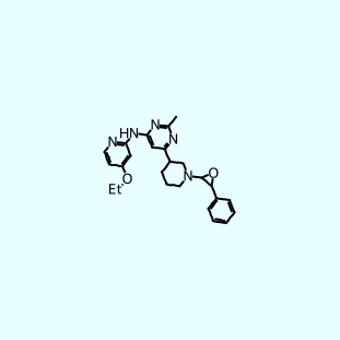 CCOc1ccnc(Nc2cc(C3CCCN(C4OC4c4ccccc4)C3)nc(C)n2)c1